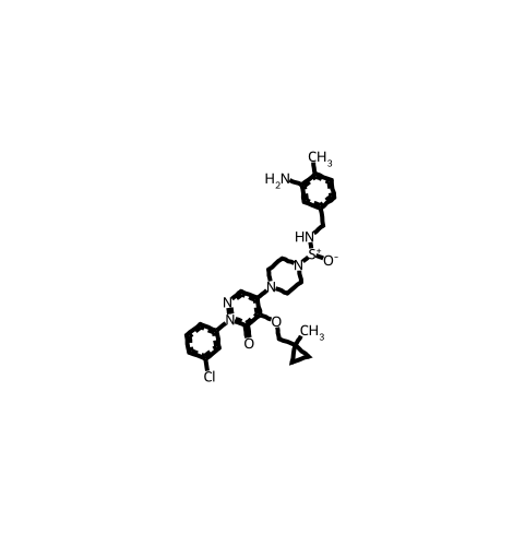 Cc1ccc(CN[S+]([O-])N2CCN(c3cnn(-c4cccc(Cl)c4)c(=O)c3OCC3(C)CC3)CC2)cc1N